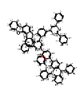 c1ccc(-c2cc(-c3ccc(-n4c5ccccc5c5c6oc7ccccc7c6ccc54)c(-c4nc(-c5ccccc5)nc(-c5ccc(-c6ccc7c8c6N(c6ccccc6)c6ccccc6B8c6ccccc6N7c6ccccc6)cc5)n4)c3)nc(-c3ccccc3)n2)cc1